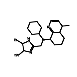 CCCC1N=C(CN(C2CCCCC2)C2CCCC3C2=NC=CC3C)NC1CC